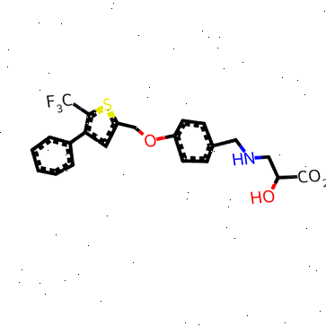 O=C(O)C(O)CNCc1ccc(OCc2cc(-c3ccccc3)c(C(F)(F)F)s2)cc1